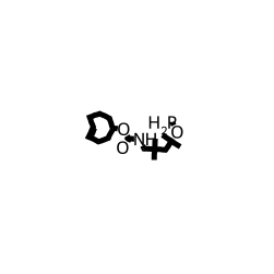 CC(C)(CNC(=O)OC1CC/C=C/CCC1)CC(C)(C)OP